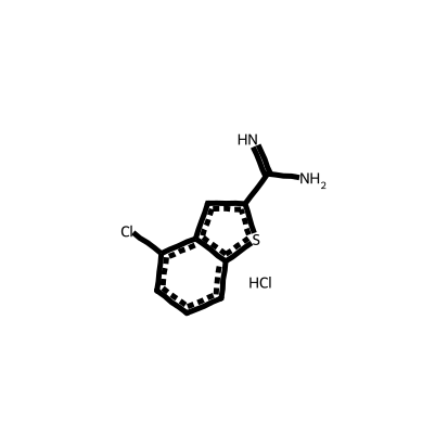 Cl.N=C(N)c1cc2c(Cl)cccc2s1